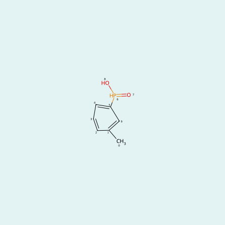 Cc1cccc([PH](=O)O)c1